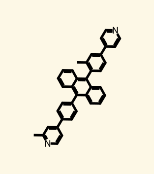 Cc1cc(-c2ccc(-c3c4ccccc4c(-c4ccc(-c5ccncc5)cc4C)c4ccccc34)cc2)ccn1